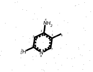 [2H]c1cc(N)c(C)cn1